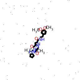 CCN1C(=O)c2cc(C(=O)NCCc3ccc(OC)c(OC)c3)nn2CC1(C)C(=O)NC1CCCC1